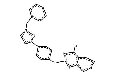 Oc1nc(Oc2ccc(-c3ccn(Cc4ccccc4)n3)cc2)nc2cnccc12